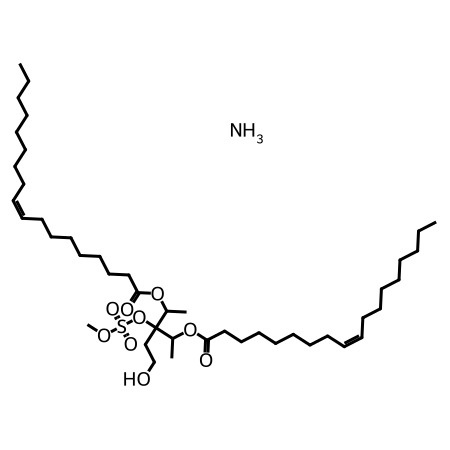 CCCCCCCC/C=C\CCCCCCCC(=O)OC(C)C(CCO)(OS(=O)(=O)OC)C(C)OC(=O)CCCCCCC/C=C\CCCCCCCC.N